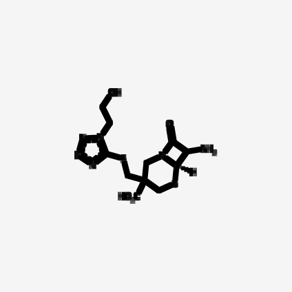 NC1C(=O)N2CC(CSc3nnnn3CCO)(C(=O)O)CS[C@H]12